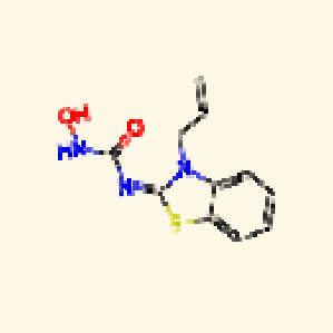 C=CCn1c(=NC(=O)NO)sc2ccccc21